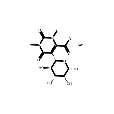 C[C@H]1O[C@@H](c2c(C(=O)[O-])n(C)c(=O)n(C)c2=O)[C@H](O)[C@@H](O)[C@H]1O.[Na+]